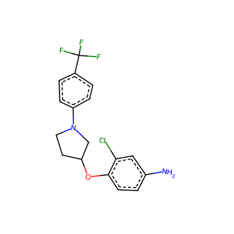 Nc1ccc(OC2CCN(c3ccc(C(F)(F)F)cc3)C2)c(Cl)c1